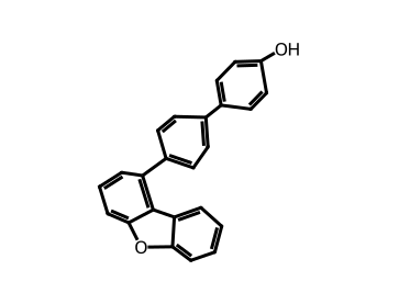 Oc1ccc(-c2ccc(-c3cccc4oc5ccccc5c34)cc2)cc1